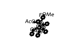 COc1ccc(Cc2ccc(COC(C)=O)cc2O[C@@H]2O[C@H]([C@@H](C)OC(=O)c3ccccc3)[C@@H](OC(=O)c3ccccc3)[C@H](OC(=O)c3ccccc3)[C@H]2OC(=O)c2ccccc2)cc1F